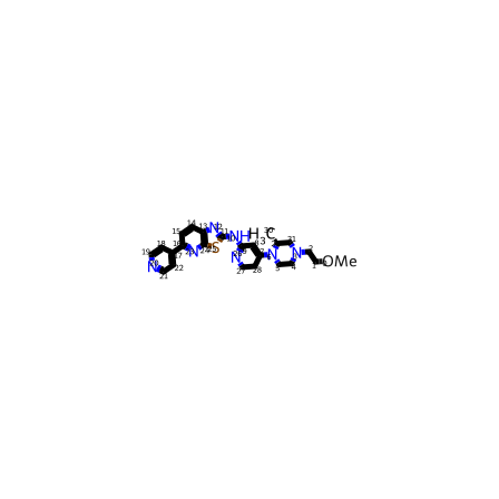 COCCN1CCN(C2=CC(Nc3nc4ccc(-c5ccncc5)nc4s3)=NCC2)[C@@H](C)C1